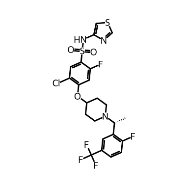 C[C@H](c1cc(C(F)(F)F)ccc1F)N1CCC(Oc2cc(F)c(S(=O)(=O)Nc3cscn3)cc2Cl)CC1